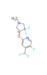 CN1C[C@H](Oc2cc(C(F)F)c(F)cn2)C(F)(F)C1